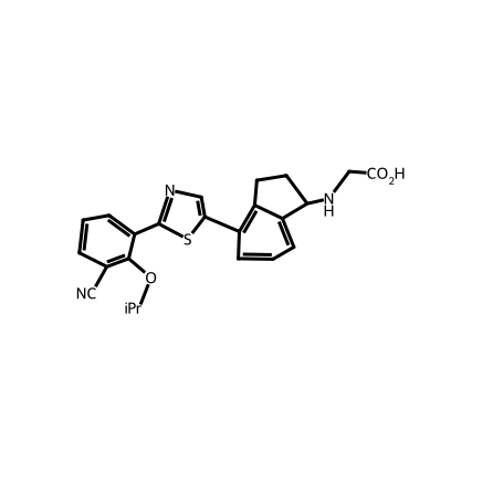 CC(C)Oc1c(C#N)cccc1-c1ncc(-c2cccc3c2CCC3NCC(=O)O)s1